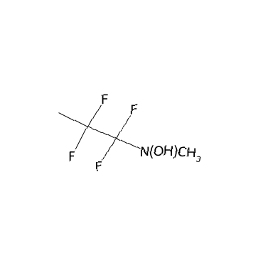 CN(O)C(F)(F)C(C)(F)F